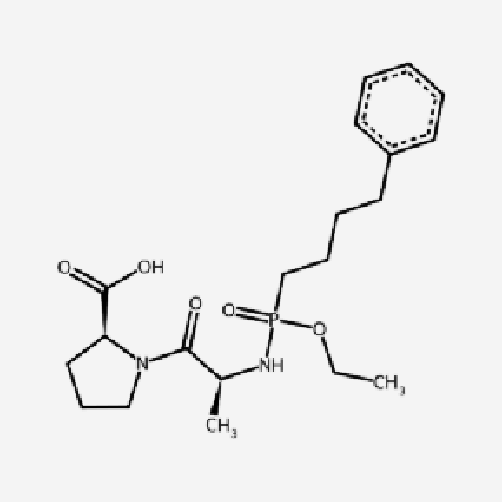 CCOP(=O)(CCCCc1ccccc1)N[C@@H](C)C(=O)N1CCC[C@H]1C(=O)O